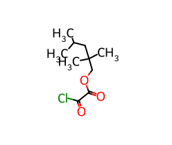 CC(C)CC(C)(C)COC(=O)C(=O)Cl